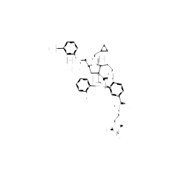 C[C@]1(C(=O)Nc2cccc(Cl)c2)[C@@H](c2cccc(Cl)c2F)[C@@H]2c3nc4cc(C(=O)NCCS(C)(=O)=O)ccc4n3CC[C@@H]2N1CC1CC1